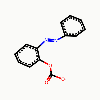 [O]C(=O)Oc1ccccc1N=Nc1ccccc1